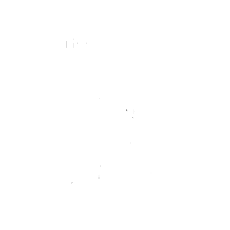 CN(CCO)C1CCC1(C)C